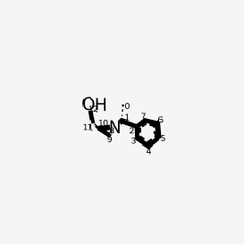 C[C@H](c1ccccc1)N1C[C@@H]1CO